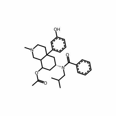 CC(=O)OC1C[C@@H](N(CC(C)C)C(=O)c2ccccc2)CC2(c3cccc(O)c3)CCN(C)CC12